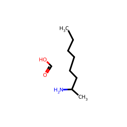 CCCCCCC(C)N.O=CO